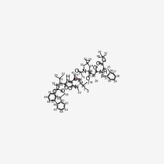 CC[C@H](C)[C@@H]([C@@H](CC(=O)N1CC2(CC2)C[C@H]1[C@H](OC)[C@@H](C)C(=O)N[C@@H](Cc1ccccc1F)C(=O)OC(C)(C)C)OC)N(C)C(=O)[C@@H](NC(=O)[C@H](C(C)C)N(C)C(=O)OCC1c2ccccc2-c2ccccc21)C(C)C